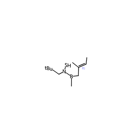 C/C=C(\C)CB(C)N(S)CC(C)(C)C